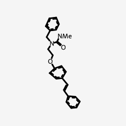 CNC(=O)N(CCOc1ccc(/C=C/c2ccccc2)cc1)Cc1ccccc1